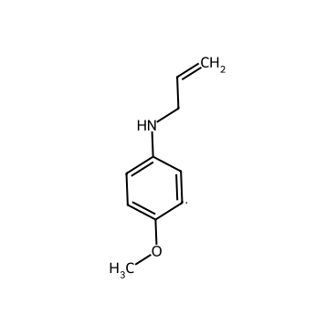 C=CCNc1c[c]c(OC)cc1